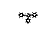 CC[Si](OCc1ccccc1)(O[SiH2]c1ccccc1)c1ccccc1